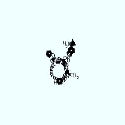 C=C[C@@H]1C[C@@]12NC(=O)[C@@H]1C[C@@H](OC(=O)N3Cc4ccc(C5(N)CC5)cc4C3)CN1C(=O)[C@@H](NC(=O)OC1CCCC1)CCCCCCCNc1ccccc1S(=O)(=O)NC2=O